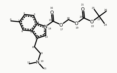 Cc1ccc2c(c1)c(CCN(C)C)cn2C(=O)OCOC(=O)OC(C)(C)C